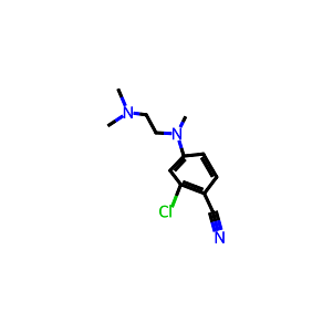 CN(C)CCN(C)c1ccc(C#N)c(Cl)c1